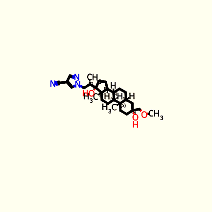 COC[C@@]1(O)CC[C@@]2(C)[C@H](CC[C@@H]3[C@@H]2CC[C@@]2(C)[C@H]3CC[C@]2(O)[C@@H](C)Cn2cc(C#N)cn2)C1